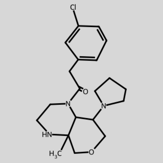 CC12COCC(N3CCCC3)C1N(C(=O)Cc1cccc(Cl)c1)CCN2